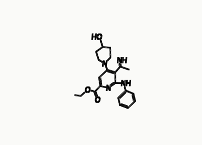 CCOC(=O)c1cc(N2CCC(O)CC2)c(C(C)=N)c(Nc2ccccc2)n1